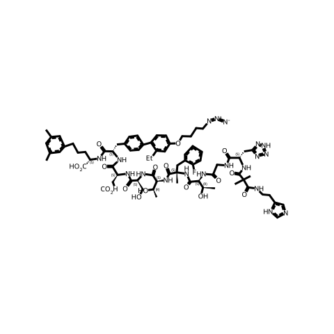 CCc1cc(OCCCCN=[N+]=[N-])ccc1-c1ccc(C[C@H](NC(=O)[C@H](CC(=O)O)NC(=O)[C@H](CO)NC(=O)[C@@H](NC(=O)[C@](C)(Cc2ccccc2F)NC(=O)[C@@H](NC(=O)CNC(=O)[C@H](Cc2nn[nH]n2)NC(=O)C(C)(C)C(=O)NCCc2cnc[nH]2)[C@@H](C)O)[C@@H](C)O)C(=O)N[C@@H](CCCc2cc(C)cc(C)c2)C(=O)O)cc1